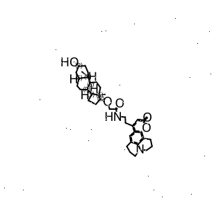 C[C@]12CC[C@@H](O)C[C@@H]1CC[C@@H]1[C@@H]2CC[C@]2(C)[C@@H](OCC(=O)NCCc3cc(=O)oc4c5c6c(cc34)CCCN6CCC5)CC[C@@H]12